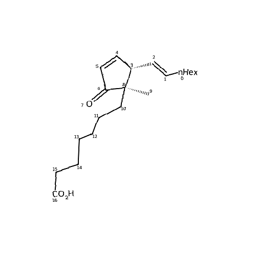 CCCCCCC=C[C@H]1C=CC(=O)[C@]1(C)CCCCCCC(=O)O